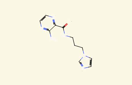 Nc1nccnc1C(=O)NCCCn1ccnc1